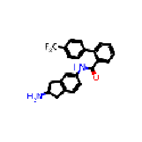 NC1Cc2ccc(NC(=O)c3ccccc3-c3ccc(C(F)(F)F)cc3)cc2C1